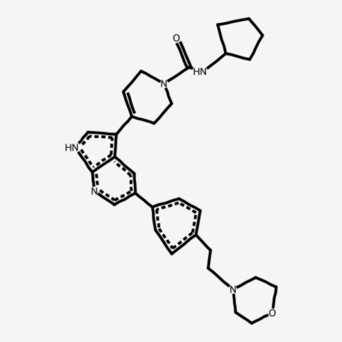 O=C(NC1CCCC1)N1CC=C(c2c[nH]c3ncc(-c4ccc(CCN5CCOCC5)cc4)cc23)CC1